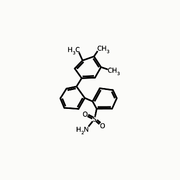 Cc1cc(-c2ccccc2-c2ccccc2S(N)(=O)=O)cc(C)c1C